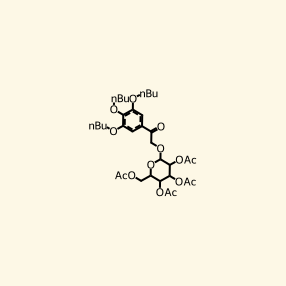 CCCCOc1cc(C(=O)COC2OC(COC(C)=O)C(OC(C)=O)C(OC(C)=O)C2OC(C)=O)cc(OCCCC)c1OCCCC